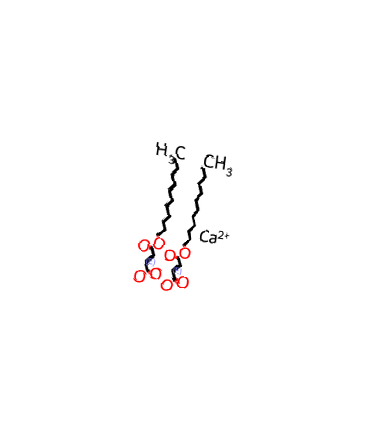 CCCCCCCCCCCCOC(=O)/C=C/C(=O)[O-].CCCCCCCCCCCCOC(=O)/C=C/C(=O)[O-].[Ca+2]